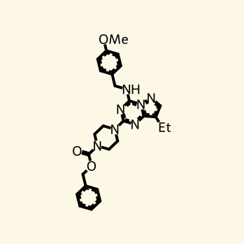 CCc1cnn2c(NCc3ccc(OC)cc3)nc(N3CCN(C(=O)OCc4ccccc4)CC3)nc12